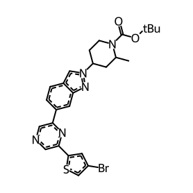 CC1CC(n2cc3ccc(-c4cncc(-c5cc(Br)cs5)n4)cc3n2)CCN1C(=O)OC(C)(C)C